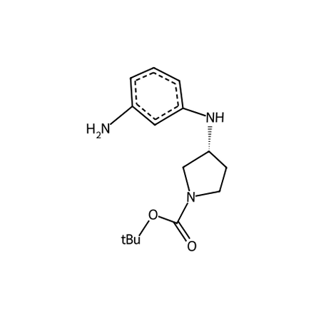 CC(C)(C)OC(=O)N1CC[C@@H](Nc2cccc(N)c2)C1